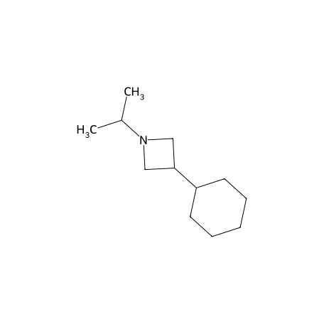 CC(C)N1CC(C2CCCCC2)C1